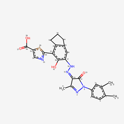 CC1=NN(c2ccc(C)c(C)c2)C(=O)/C1=N\Nc1cc2c(c(-c3ncc(C(=O)O)s3)c1O)CCC2